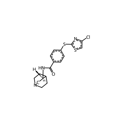 O=C(N[C@H]1CN2CCC1CC2)c1ccc(Sc2nc(Cl)cs2)cc1